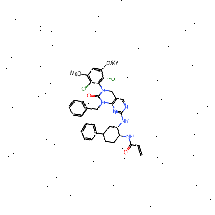 C=CC(=O)N[C@H]1CCC(c2ccccc2)C[C@H]1Nc1ncc2c(n1)N(Cc1ccccc1)C(=O)N(c1c(Cl)c(OC)cc(OC)c1Cl)C2